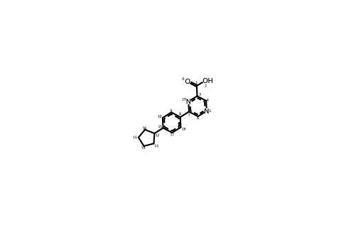 O=C(O)c1cncc(-c2ccc(C3CCCC3)cc2)n1